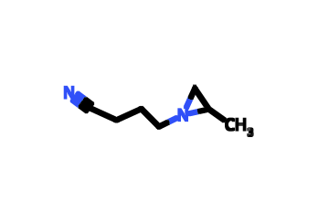 CC1CN1CCCC#N